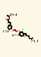 COc1cc2sc(C(=O)C[C@H](C)C(=O)O)cc2cc1OCCOc1c(OC)cc2sc(C(=O)C[C@H](C)C(=O)O)cc2c1F